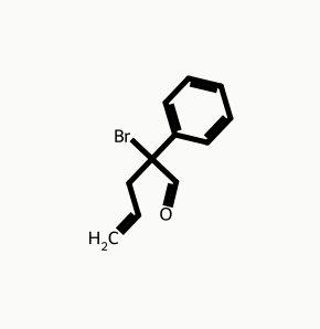 C=CCC(Br)(C=O)c1ccccc1